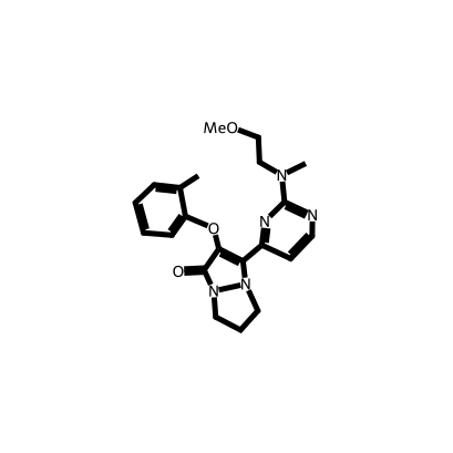 COCCN(C)c1nccc(-c2c(Oc3ccccc3C)c(=O)n3n2CCC3)n1